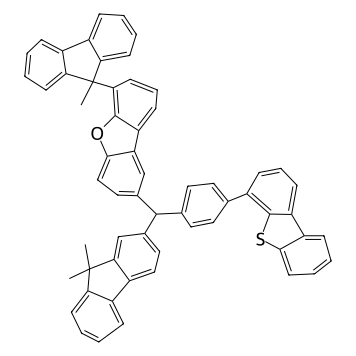 CC1(C)c2ccccc2-c2ccc(C(c3ccc(-c4cccc5c4sc4ccccc45)cc3)c3ccc4oc5c(C6(C)c7ccccc7-c7ccccc76)cccc5c4c3)cc21